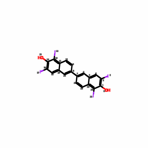 Oc1c(I)cc2cc(-c3ccc4c(I)c(O)c(I)cc4c3)ccc2c1I